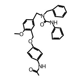 COc1ccc(CN(Cc2ccccc2)C(=O)Nc2ccccc2)cc1COc1ccc(NC(C)=O)cc1